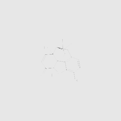 C[N+]1(C)CC[C@]23c4c5ccc(O)c4O[C@H]2C(=O)C=CC3(O)[C@H]1C5